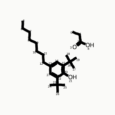 CCC(=O)O.CCCCCCCCc1cc(C(C)(C)C)c(O)c(C(C)(C)C)c1